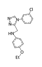 CCOc1ccc(NCc2nncn2-c2cccc(Cl)c2)cc1